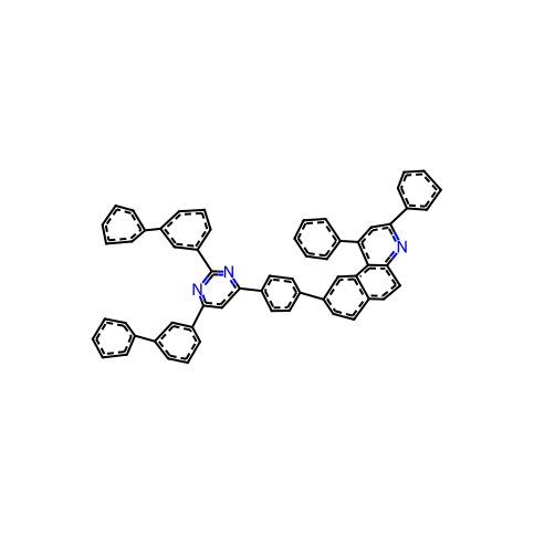 c1ccc(-c2cccc(-c3cc(-c4ccc(-c5ccc6ccc7nc(-c8ccccc8)cc(-c8ccccc8)c7c6c5)cc4)nc(-c4cccc(-c5ccccc5)c4)n3)c2)cc1